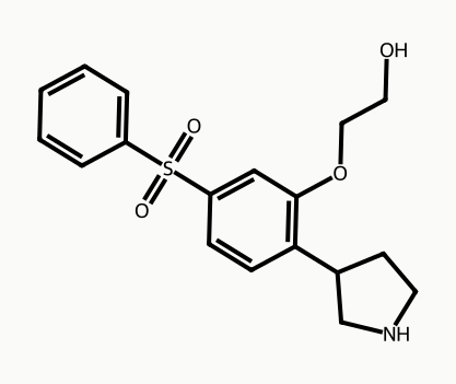 O=S(=O)(c1ccccc1)c1ccc(C2CCNC2)c(OCCO)c1